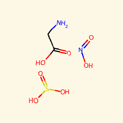 NCC(=O)O.O=NO.O=S(O)O